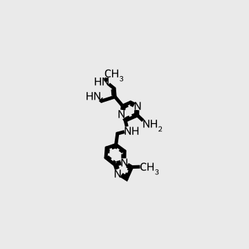 CN/C=C(\C=N)c1cnc(N)c(NCc2ccc3ncc(C)n3c2)n1